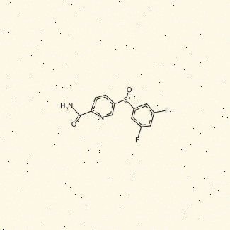 NC(=O)c1ccc([S+]([O-])c2cc(F)cc(F)c2)cn1